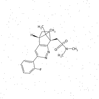 CN(C)S(=O)(=O)C[C@@]12CC[C@@H](c3cc(-c4ccccc4F)nnc31)C2(C)C